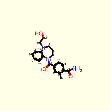 Cc1cc(C(=O)N2CCCN(CCO)c3ccccc32)ccc1C(N)=O